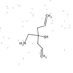 C=CCC(S)(CN)CC=C